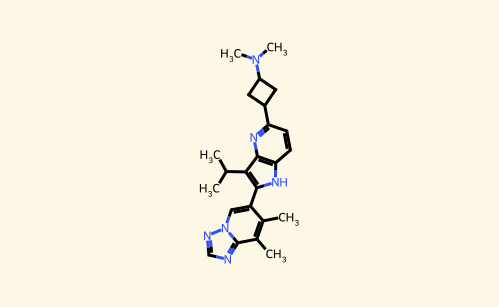 Cc1c(-c2[nH]c3ccc(C4CC(N(C)C)C4)nc3c2C(C)C)cn2ncnc2c1C